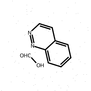 O=CO.c1ccc2nnccc2c1